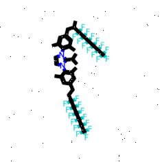 Cc1cc(CCC(F)(F)C(F)(F)C(F)(F)C(F)(F)C(F)(F)C(F)(F)F)cc(C)c1N1C=CN(c2c(C)cc(CC(C)C(F)(F)C(F)(F)C(F)(F)C(F)(F)C(F)(F)C(F)(F)F)cc2C)C1C(C)C